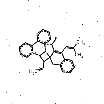 C=CC1C2C(c3ccccc3-c3cccc[n+]32)C12Cc1ccccc1C(C=C(C)C)=[N+]2C(C)F